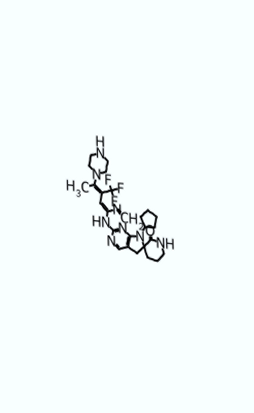 C=N/C(=C\C(=C(/C)N1CCNCC1)C(F)(F)F)Nc1ncc2c(n1)N(C1CCCC1)C1(CCCNC1=O)C2